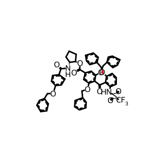 O=C(N[C@@H]1CCC[C@H]1OC(=O)c1cc(OCc2ccccc2)c(C(=O)c2c(NS(=O)(=O)C(F)(F)F)cccc2OCc2ccccc2)c(OCc2ccccc2)c1)c1ccc(OCc2ccccc2)cc1